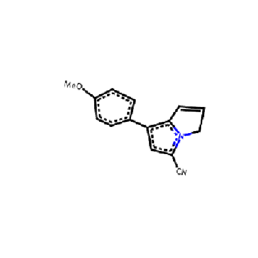 COc1ccc(-c2cc(C#N)n3c2C=CC3)cc1